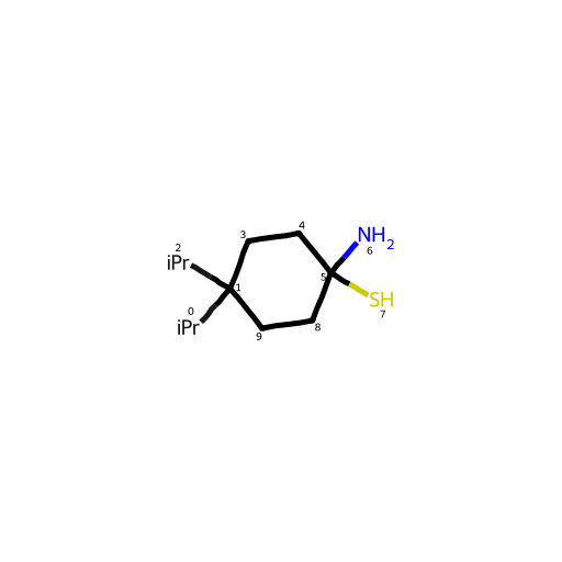 CC(C)C1(C(C)C)CCC(N)(S)CC1